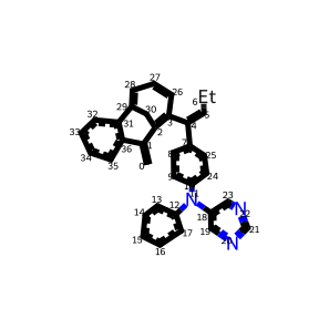 C=C1C2=C(/C(=C\CC)c3ccc(N(c4ccccc4)c4cncnc4)cc3)C=CC=C(C2)c2ccccc21